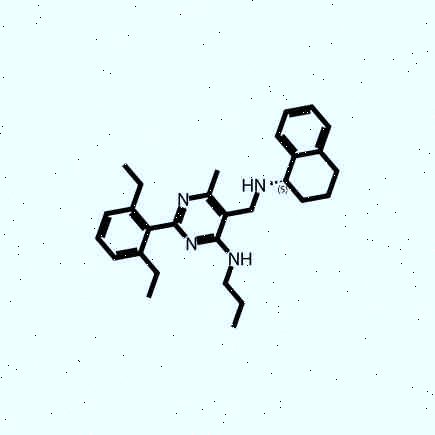 CCCNc1nc(-c2c(CC)cccc2CC)nc(C)c1CN[C@H]1CCCc2ccccc21